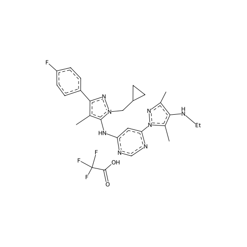 CCNc1c(C)nn(-c2cc(Nc3c(C)c(-c4ccc(F)cc4)nn3CC3CC3)ncn2)c1C.O=C(O)C(F)(F)F